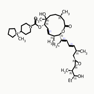 CC[C@H](O)[C@@H](C)[C@H]1O[C@@H]1C[C@H](C)/C=C/C=C(\C)[C@H]1OC(=O)C[C@H](C)CC[C@@](C)(O)[C@@H](OC(=O)N2CCC([N+]3(C)CCCC3)CC2)/C=C/[C@@H]1C